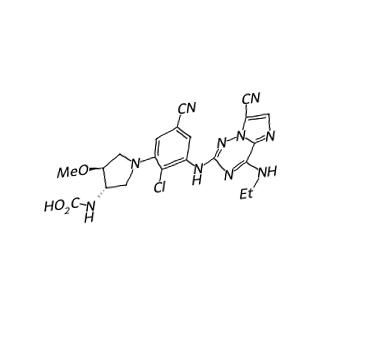 CCNc1nc(Nc2cc(C#N)cc(N3C[C@H](NC(=O)O)[C@@H](OC)C3)c2Cl)nn2c(C#N)cnc12